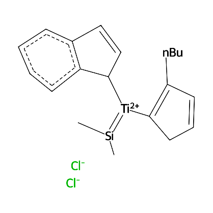 CCCCC1=[C]([Ti+2]([CH]2C=Cc3ccccc32)=[Si](C)C)CC=C1.[Cl-].[Cl-]